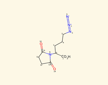 [N-]=[N+]=NCCCC(C(=O)O)N1C(=O)CCC1=O